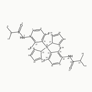 CC(C)C(=O)Nc1ccc(F)[c]([Ti]([c]2c(F)ccc(NC(=O)C(C)C)c2F)([CH]2C=CC=C2)[CH]2C=CC=C2)c1F